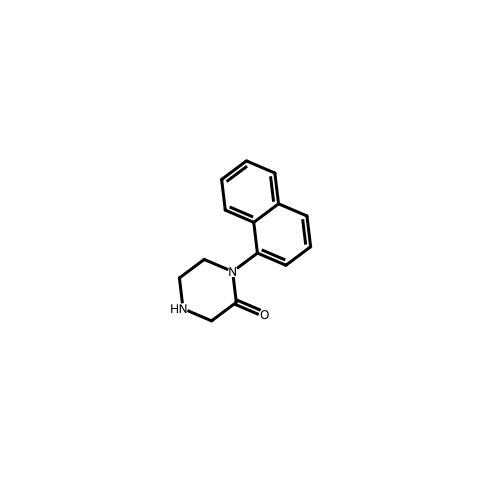 O=C1CNCCN1c1cccc2ccccc12